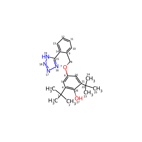 CC(C)(C)c1cc(OCc2ccccc2-c2nnn[nH]2)cc(C(C)(C)C)c1O